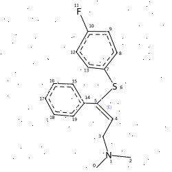 CN(C)C/C=C(/Sc1ccc(F)cc1)c1ccccc1